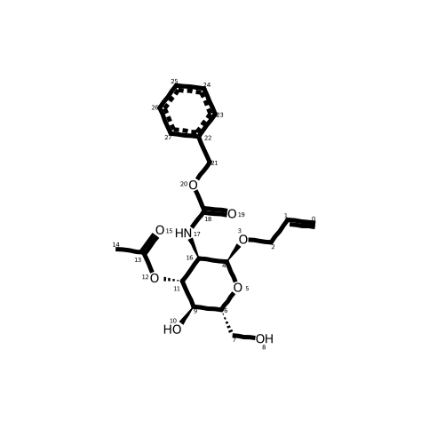 C=CCO[C@H]1O[C@H](CO)[C@@H](O)[C@H](OC(C)=O)[C@H]1NC(=O)OCc1ccccc1